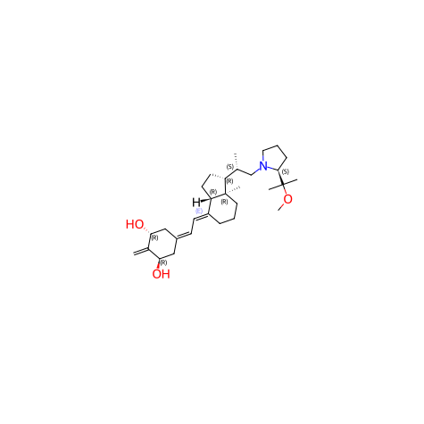 C=C1[C@H](O)CC(=C/C=C2\CCC[C@]3(C)[C@@H]([C@H](C)CN4CCC[C@H]4C(C)(C)OC)CC[C@@H]23)C[C@H]1O